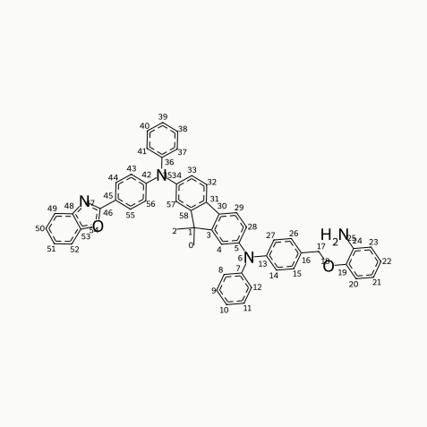 CC1(C)c2cc(N(c3ccccc3)c3ccc(COc4ccccc4N)cc3)ccc2-c2ccc(N(c3ccccc3)c3ccc(-c4nc5ccccc5o4)cc3)cc21